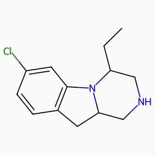 CCC1CNCC2Cc3ccc(Cl)cc3N12